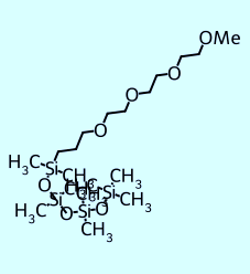 COCCOCCOCCOCCC[Si](C)(C)O[Si](C)(C)O[Si](C)(C)O[Si](C)(C)C